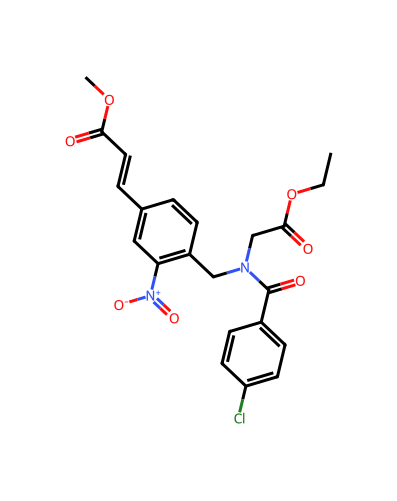 CCOC(=O)CN(Cc1ccc(C=CC(=O)OC)cc1[N+](=O)[O-])C(=O)c1ccc(Cl)cc1